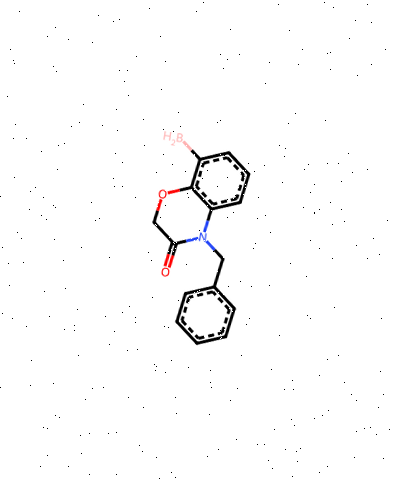 Bc1cccc2c1OCC(=O)N2Cc1ccccc1